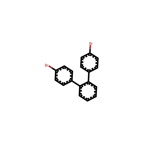 Brc1ccc(-c2ccccc2-c2ccc(Br)cc2)cc1